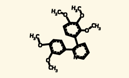 COc1ccc(-c2ncccc2-c2ccc(OC)c(OC)c2OC)cc1OC